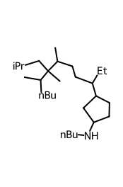 CCCCNC1CCC(C(CC)CCC(C)C(C)(CC(C)C)C(C)CCCC)C1